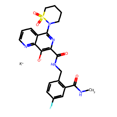 CNC(=O)c1cc(F)ccc1CNC(=O)c1nc(N2CCCCS2(=O)=O)c2cccnc2c1[O-].[K+]